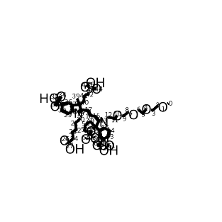 COCCOCCOCCOCCN1/C(=C/C=C/C2=[N+](CCCCCC(=O)O)c3ccc(S(=O)(=O)O)cc3C2(C)CCCS(=O)(=O)O)C(C)(CCCS(=O)(=O)O)c2cc(S(=O)(=O)O)ccc21